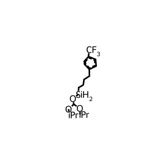 CC(C)OC(O[SiH2]CCCCc1ccc(C(F)(F)F)cc1)OC(C)C